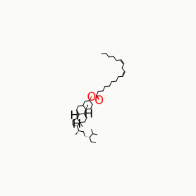 CCCCC/C=C\C/C=C\CCCCCCCC(=O)OC1CC[C@@]2(C)C(CC[C@H]3[C@@H]4CC[C@H]([C@H](C)CC[C@@H](CC)C(C)C)[C@@]4(C)CC[C@@H]32)C1